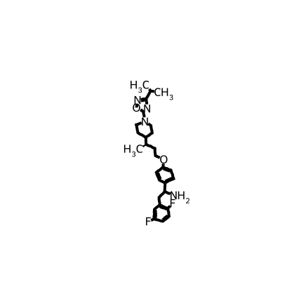 CC(C)c1noc(N2CCC([C@H](C)CCOc3ccc(C(N)Cc4cc(F)ccc4F)cc3)CC2)n1